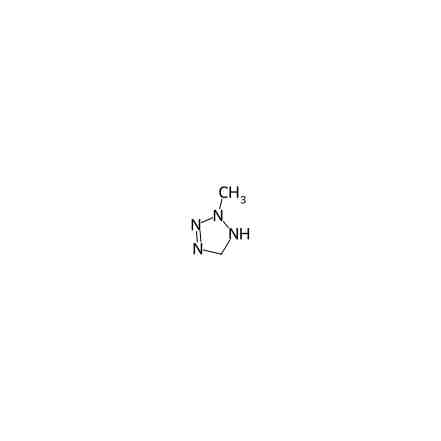 CN1N=NCN1